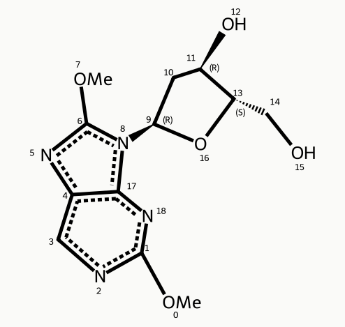 COc1ncc2nc(OC)n([C@H]3C[C@@H](O)[C@H](CO)O3)c2n1